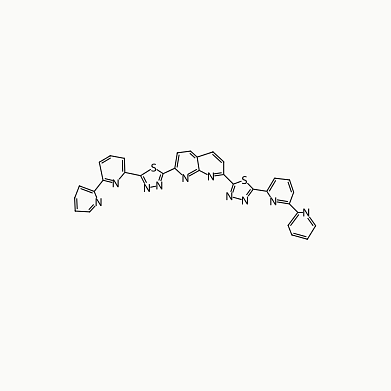 c1ccc(-c2cccc(-c3nnc(-c4ccc5ccc(-c6nnc(-c7cccc(-c8ccccn8)n7)s6)nc5n4)s3)n2)nc1